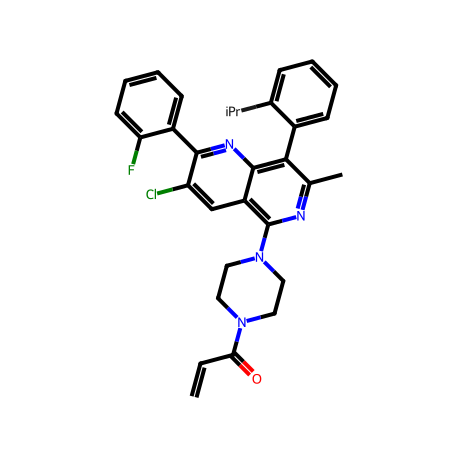 C=CC(=O)N1CCN(c2nc(C)c(-c3ccccc3C(C)C)c3nc(-c4ccccc4F)c(Cl)cc23)CC1